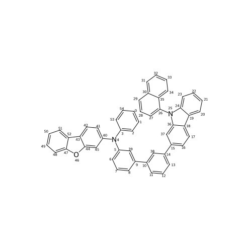 c1ccc(N(c2cccc(-c3cccc(-c4ccc5c6ccccc6n(-c6cccc7ccccc67)c5c4)c3)c2)c2ccc3c(c2)oc2ccccc23)cc1